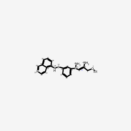 CCOC/C(N)=C/N(N)c1cccc(SNc2cccc3cnccc23)c1